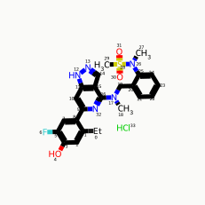 CCc1cc(O)c(F)cc1-c1cc2[nH]ncc2c(N(C)Cc2ccccc2N(C)S(C)(=O)=O)n1.Cl